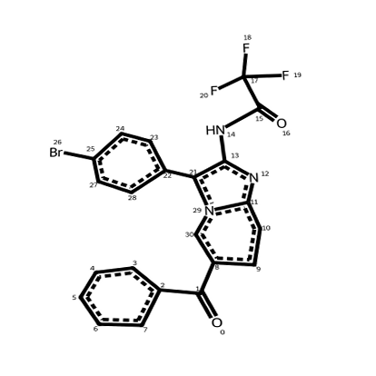 O=C(c1ccccc1)c1ccc2nc(NC(=O)C(F)(F)F)c(-c3ccc(Br)cc3)n2c1